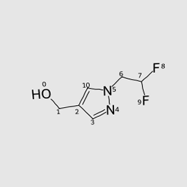 OCc1cnn(CC(F)F)c1